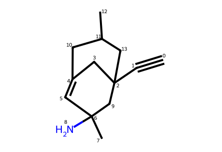 C#CC12CC(=CC(C)(N)C1)CC(C)C2